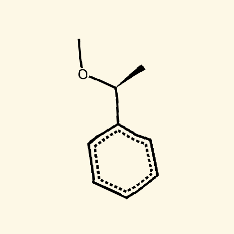 CO[C@@H](C)c1ccccc1